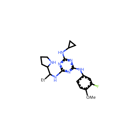 CCC(Nc1nc(Nc2ccc(OC)c(F)c2)nc(NC2CC2)n1)C1CCCN1